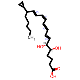 CCCCCC(/C=C/C=C\C=C\C=C\[C@@H](O)[C@@H](O)CCCC(=O)O)C1CC1